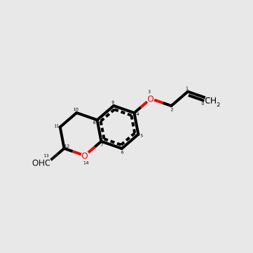 C=CCOc1ccc2c(c1)CCC(C=O)O2